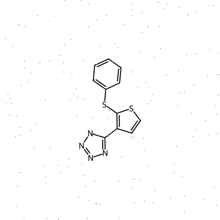 c1ccc(Sc2sccc2C2=NN=N[N]2)cc1